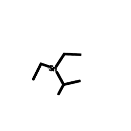 C[CH2][Sn]([CH2]C)[CH](C)C